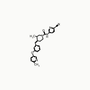 Cc1ccc(Oc2cccc(C=C3CCN(C(=O)Nc4ccc(C#N)nc4)CC3C)c2)cn1